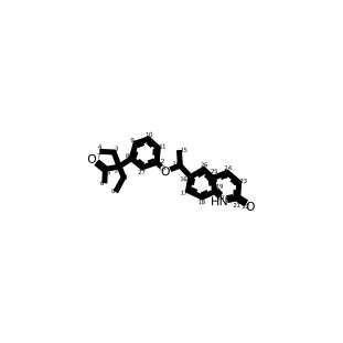 CCC(CC)(C(C)=O)c1cccc(OC(C)c2ccc3[nH]c(=O)ccc3c2)c1